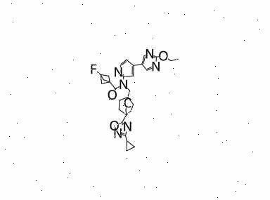 CCOc1ncc(-c2ccnc(N(CC34CCC(c5nc(C6CC6)no5)(CC3)CC4)C(=O)C34CC(F)(C3)C4)c2)cn1